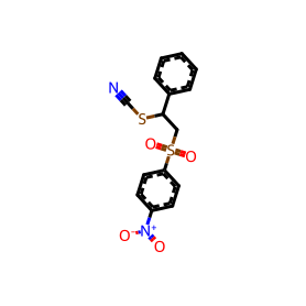 N#CSC(CS(=O)(=O)c1ccc([N+](=O)[O-])cc1)c1ccccc1